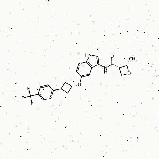 C[C@@H]1OC[C@@H]1C(=O)Nc1c[nH]c2ccc(O[C@H]3C[C@H](c4ccc(C(F)(F)F)cc4)C3)cc12